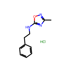 Cc1noc(NCCc2ccccc2)n1.Cl